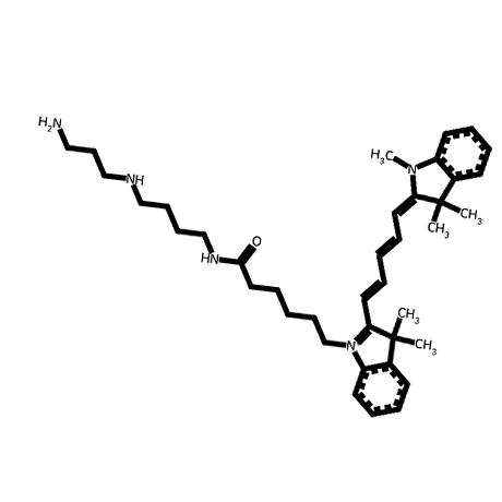 CN1/C(=C/C=C/C=C/C2=[N+](CCCCCC(=O)NCCCCNCCCN)c3ccccc3C2(C)C)C(C)(C)c2ccccc21